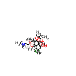 C=C[C@@]1(C)CC(=O)[C@]2(O)[C@@]3(C)[C@@H](O)CCC(C)(C)[C@@H]3[C@H](OC(=O)CCN(C)C)[C@H](OC(C)=O)[C@@]2(C)O1.[Cl-].[H+]